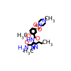 CCCc1nn(C)c(C(N)=O)c1NC(=O)c1cc(S(=O)(=O)N2CCN(C)CC2)ccc1OC